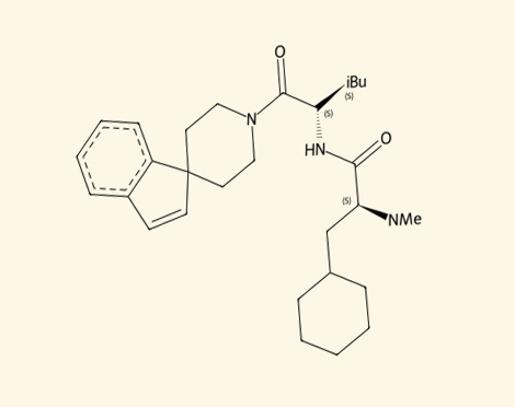 CC[C@H](C)[C@H](NC(=O)[C@H](CC1CCCCC1)NC)C(=O)N1CCC2(C=Cc3ccccc32)CC1